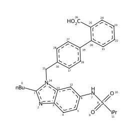 CCCCc1nc2ccc(NS(=O)(=O)C(C)C)cc2n1Cc1ccc(-c2ccccc2C(=O)O)cc1